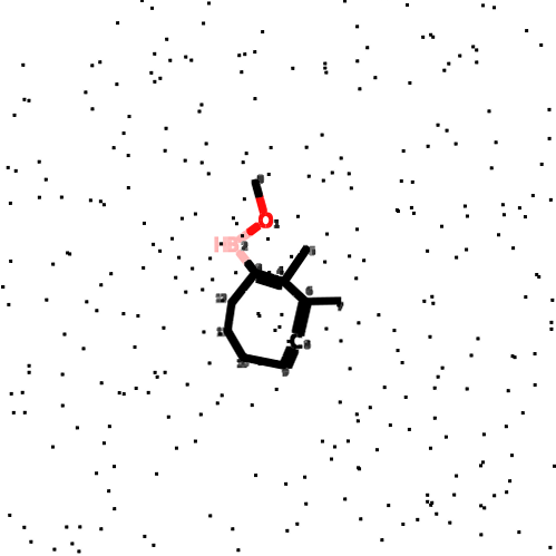 COB/C1=C(\C)C(C)=C=CCCC1